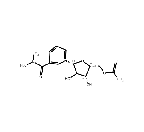 CC(=O)OC[C@H]1O[C@@H]([n+]2cccc(C(=O)N(C)C)c2)C(O)[C@H]1O